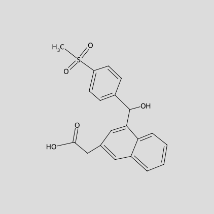 CS(=O)(=O)c1ccc(C(O)c2cc(CC(=O)O)cc3ccccc23)cc1